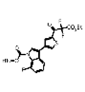 CCOC(=O)C(F)(F)C(=O)c1cc(-c2cn(C(=O)OC(C)(C)C)c3c(F)cccc23)cs1